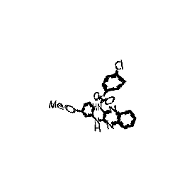 COc1cccc(Nc2nc3ccccc3nc2NS(=O)(=O)c2ccc(Cl)cc2)c1